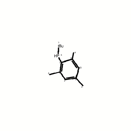 Cc1cc(C)c(PC(C)(C)C)c(C)c1